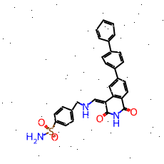 NS(=O)(=O)c1ccc(CNC=C2C(=O)NC(=O)c3ccc(-c4ccc(-c5ccccc5)cc4)cc32)cc1